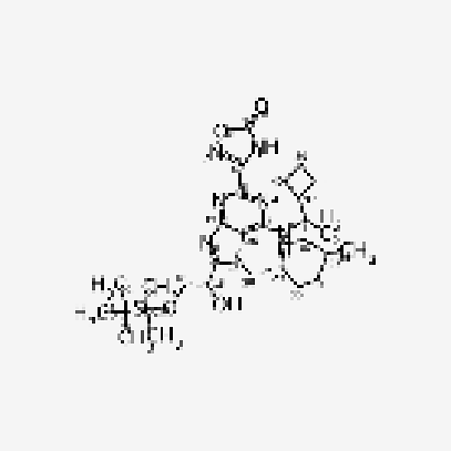 C[C@@H](Nc1nc(-c2noc(=O)[nH]2)nc2nc(C(O)CO[Si](C)(C)C(C)(C)C)n(C[C@H]3CC[C@H](C)CC3)c12)C1CCC1